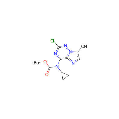 CC(C)(C)OC(=O)N(c1nc(Cl)nn2c(C#N)cnc12)C1CC1